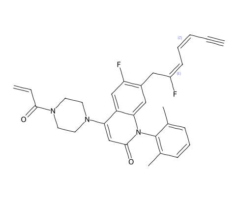 C#C/C=C\C=C(\F)Cc1cc2c(cc1F)c(N1CCN(C(=O)C=C)CC1)cc(=O)n2-c1c(C)cccc1C